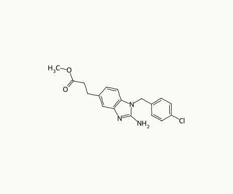 COC(=O)CCc1ccc2c(c1)nc(N)n2Cc1ccc(Cl)cc1